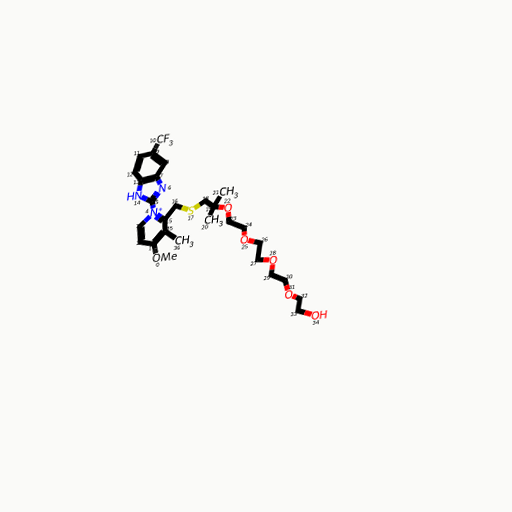 COc1cc[n+](-c2nc3cc(C(F)(F)F)ccc3[nH]2)c(CSCC(C)(C)OCCOCCOCCOCCO)c1C